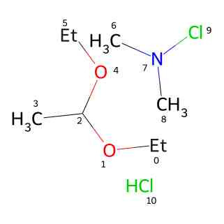 CCOC(C)OCC.CN(C)Cl.Cl